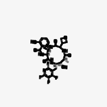 C[C@H]1NC(=O)C(C2COC2)NC(=O)[C@H](C)[C@H](O)[C@H](Cc2c(F)nc(F)c(F)c2F)NC(=O)[C@H]1NC(=O)c1ccccc1O